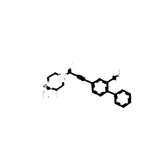 N=S1(=O)CCN(C(=O)C#Cc2ccc(-c3ccccc3)c(C(F)(F)F)c2)CC1